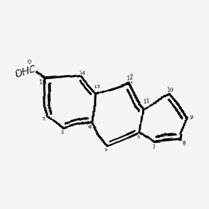 O=Cc1ccc2cc3ccccc3[c]c2c1